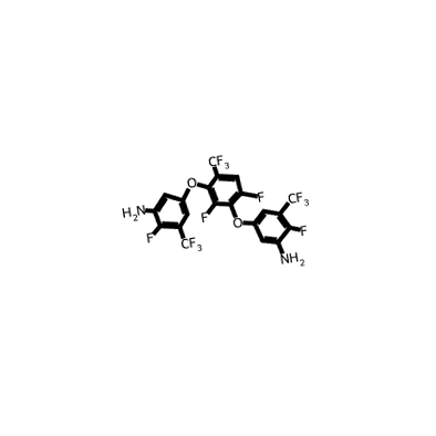 Nc1cc(Oc2c(F)cc(C(F)(F)F)c(Oc3cc(N)c(F)c(C(F)(F)F)c3)c2F)cc(C(F)(F)F)c1F